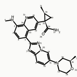 CNc1ccc(-c2nc3ccc(N4CCO[C@H](C)C4)cn3n2)c2cc([C@@]3(C(N)=O)C[C@@H]3C)cnc12